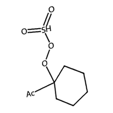 CC(=O)C1(OO[SH](=O)=O)CCCCC1